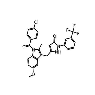 COc1ccc2c(c1)c(Cc1cc(=O)n(-c3cccc(C(F)(F)F)c3)[nH]1)c(C)n2C(=O)c1ccc(Cl)cc1